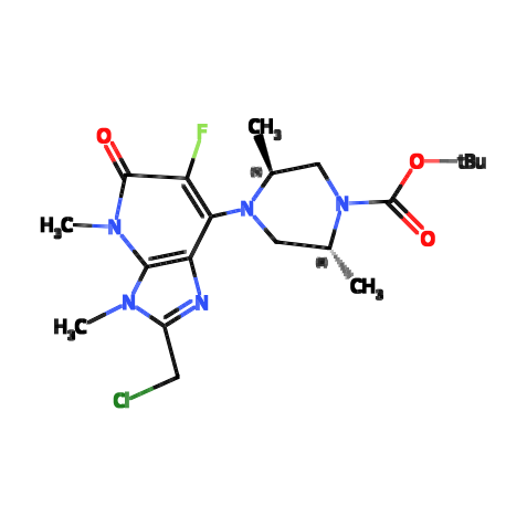 C[C@@H]1CN(c2c(F)c(=O)n(C)c3c2nc(CCl)n3C)[C@@H](C)CN1C(=O)OC(C)(C)C